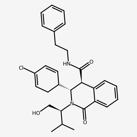 CC(C)[C@@H](CO)N1C(=O)c2ccccc2[C@H](C(=O)NCCc2ccccc2)[C@H]1C1C=CC(Cl)=CC1